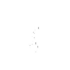 CN(C)CCOc1ccc2[nH]c(C(=O)N3CC(CCl)c4c3cc([N+](=O)[O-])c3cc([N+](=O)[O-])ccc43)cc2c1